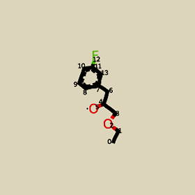 CCOCC([O])Cc1cccc(F)c1